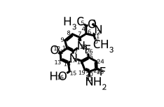 CC1=NOC(C)C1c1ccc2c(=O)cc(CO)n(-c3cc(N)c(F)cc3F)c2n1